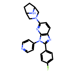 Fc1ccc(-c2nc3ccc(N4CC5CCC(C4)N5)nc3n2-c2ccncc2)cc1